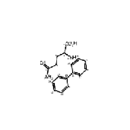 NC(=O)CC[C@H](N)C(=O)O.c1ccc(-c2ccccc2)cc1